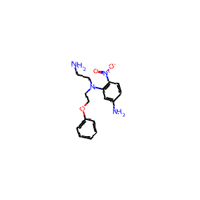 NCCN(CCOc1ccccc1)c1cc(N)ccc1[N+](=O)[O-]